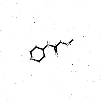 COCC(=O)NC1CCNCC1